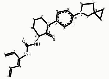 C=C/C=C(\C=C)NC(=O)N[C@@H]1CCCN(c2ccc(N3CCC4(CC4)C3)cc2)C1=O